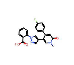 Cn1cc(-c2cnn(-c3ccccc3C(=O)O)c2)c(-c2ccc(F)cc2)cc1=O